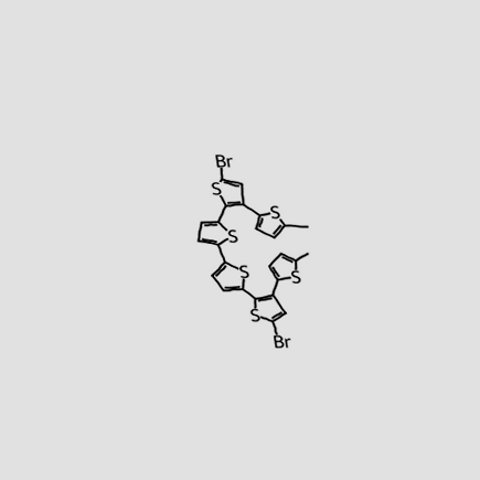 Cc1ccc(-c2cc(Br)sc2-c2ccc(-c3ccc(-c4sc(Br)cc4-c4ccc(C)s4)s3)s2)s1